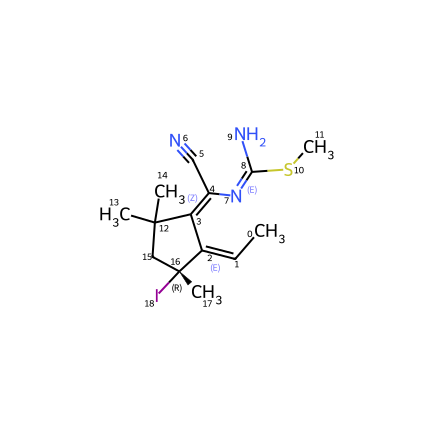 C\C=C1/C(=C(C#N)\N=C(/N)SC)C(C)(C)C[C@@]1(C)I